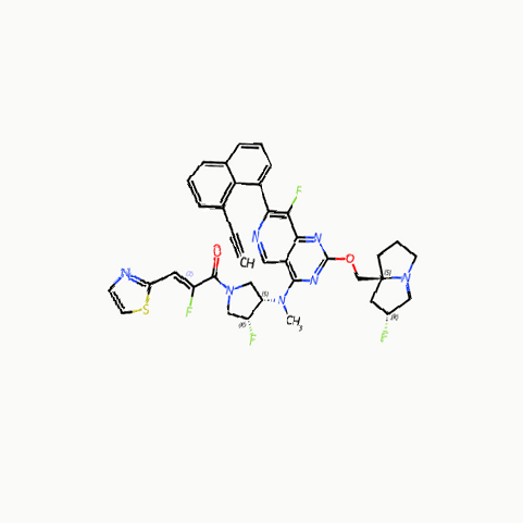 C#Cc1cccc2cccc(-c3ncc4c(N(C)[C@H]5CN(C(=O)/C(F)=C/c6nccs6)C[C@H]5F)nc(OC[C@@]56CCCN5C[C@H](F)C6)nc4c3F)c12